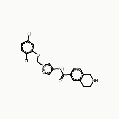 O=C(Nc1cnn(COc2cc(Cl)ccc2Cl)c1)c1ccc2c(c1)CCNC2